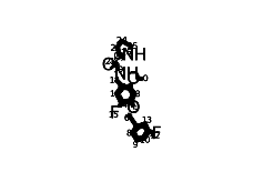 COc1cc(OCc2cccc(F)c2)c(F)cc1CNC(=O)[C@@H]1CCCN1